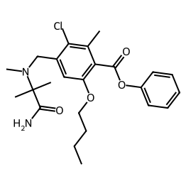 CCCCOc1cc(CN(C)C(C)(C)C(N)=O)c(Cl)c(C)c1C(=O)Oc1ccccc1